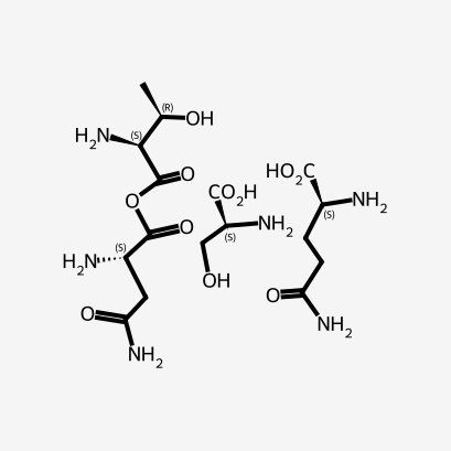 C[C@@H](O)[C@H](N)C(=O)OC(=O)[C@@H](N)CC(N)=O.NC(=O)CC[C@H](N)C(=O)O.N[C@@H](CO)C(=O)O